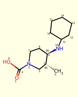 C[C@@H]1CN(C(=O)O)CC[C@H]1NC1CCCCC1